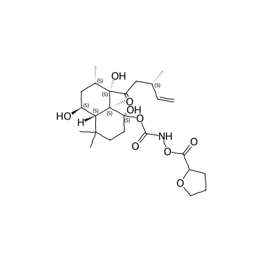 C=C[C@@H](C)CC(=O)[C@]1(O)[C@@H](C)C[C@H](O)[C@H]2C(C)(C)CC[C@](O)(OC(=O)NOC(=O)C3CCCO3)[C@@]21C